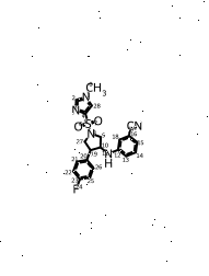 Cn1cnc(S(=O)(=O)N2CC(Nc3cccc(C#N)c3)C(c3ccc(F)cc3)C2)c1